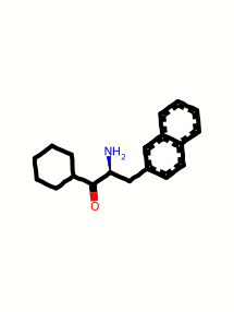 N[C@@H](Cc1ccc2ccccc2c1)C(=O)C1CCCCC1